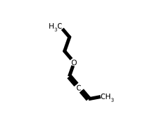 CC=C=COCCC